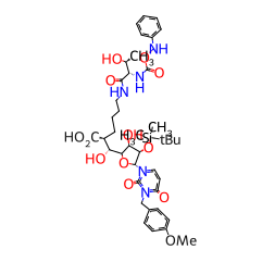 COc1ccc(Cn2c(=O)ccn([C@@H]3OC([C@H](O)[C@H](CCCCNC(=O)[C@@H](NC(=O)ONc4ccccc4)[C@H](C)O)C(=O)O)[C@@H](O)[C@H]3O[Si](C)(C)C(C)(C)C)c2=O)cc1